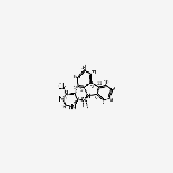 Clc1cc(Nn2c3ccccc3c3ccccc32)ncn1